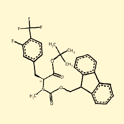 CN(C(=O)OCC1c2ccccc2-c2ccccc21)[C@@H](Cc1ccc(C(F)(F)F)c(F)c1)C(=O)OC(C)(C)C